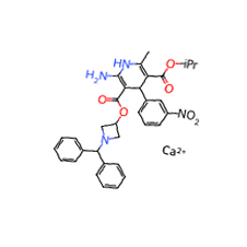 CC1=C(C(=O)OC(C)C)C(c2cccc([N+](=O)[O-])c2)C(C(=O)OC2CN(C(c3ccccc3)c3ccccc3)C2)=C(N)N1.[Ca+2]